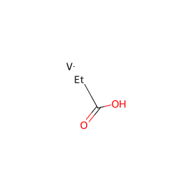 CCC(=O)O.[V]